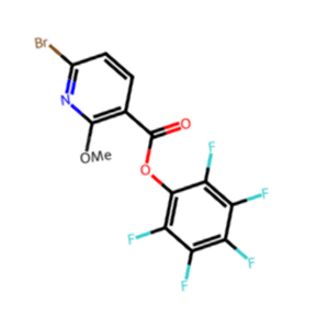 COc1nc(Br)ccc1C(=O)Oc1c(F)c(F)c(F)c(F)c1F